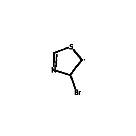 BrC1[CH]SC=N1